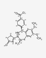 COc1cc2c(cc1OC)[C@H](c1ccc([N+](=O)[O-])cc1)NN(C1=NC(=O)CS1)[C@H](C)C2